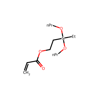 C=CC(=O)OCC[Si](CC)(OCCC)OCCC